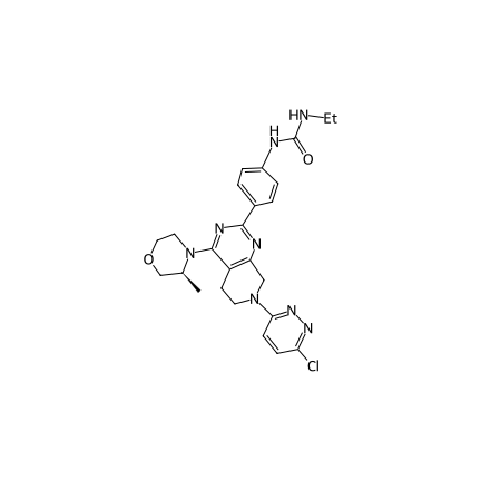 CCNC(=O)Nc1ccc(-c2nc3c(c(N4CCOC[C@@H]4C)n2)CCN(c2ccc(Cl)nn2)C3)cc1